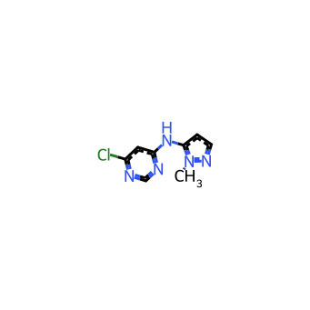 Cn1nccc1Nc1cc(Cl)ncn1